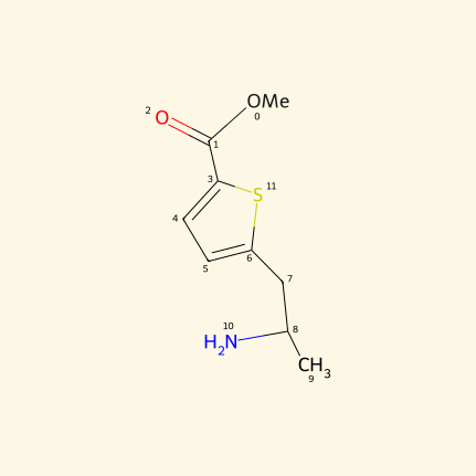 COC(=O)c1ccc(CC(C)N)s1